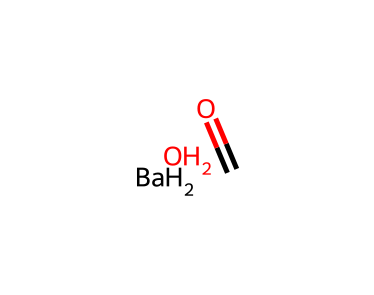 C=O.O.[BaH2]